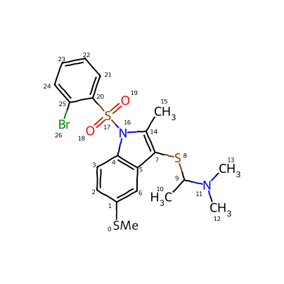 CSc1ccc2c(c1)c(SC(C)N(C)C)c(C)n2S(=O)(=O)c1ccccc1Br